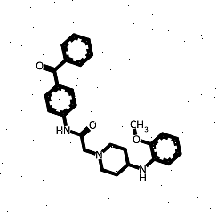 COc1ccccc1NC1CCN(CC(=O)Nc2ccc(C(=O)c3ccccc3)cc2)CC1